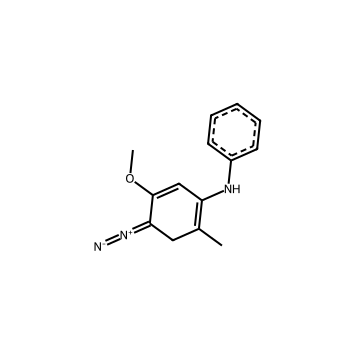 COC1=CC(Nc2ccccc2)=C(C)CC1=[N+]=[N-]